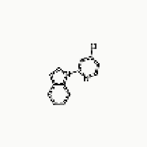 Clc1ccnc(-n2ccc3ccccc32)c1